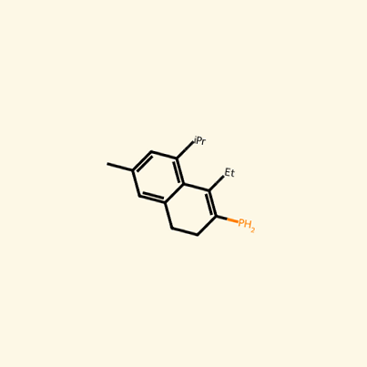 CCC1=C(P)CCc2cc(C)cc(C(C)C)c21